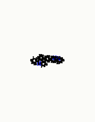 c1ccc(-c2nc3ccccc3c3c(-c4ccc(-c5ccc(-c6ccccn6)nc5)cc4)cccc23)cc1